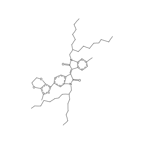 CCCCCCCCC(CCCCCC)CN1C(=O)/C(=C2/C(=O)N(CC(CCCCCC)CCCCCCCC)c3cc(-c4sc(C)c5c4OCCO5)ccc32)c2ccc(C)cc21